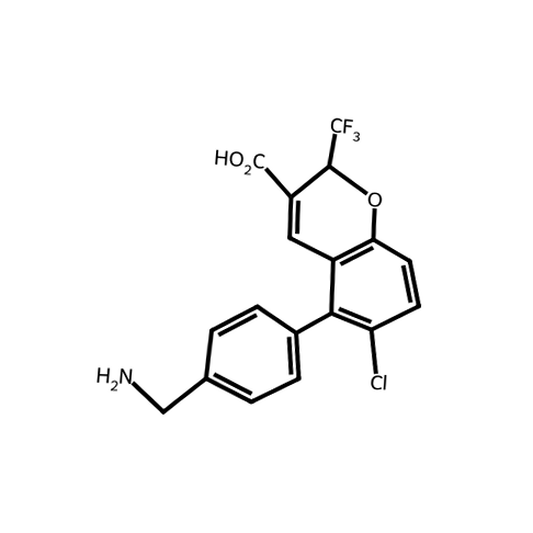 NCc1ccc(-c2c(Cl)ccc3c2C=C(C(=O)O)C(C(F)(F)F)O3)cc1